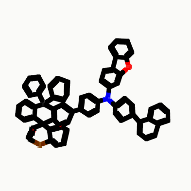 c1ccc([Si]2(c3ccccc3)c3ccccc3C3(c4ccccc4Sc4ccccc43)c3ccc(-c4ccc(N(c5ccc(-c6cccc7ccccc67)cc5)c5ccc6c(c5)oc5ccccc56)cc4)cc32)cc1